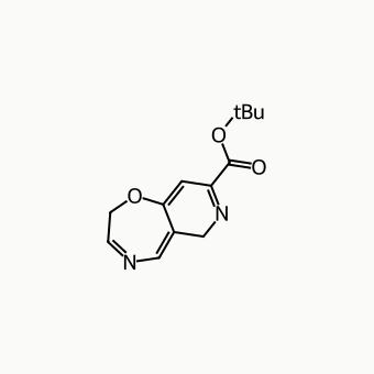 CC(C)(C)OC(=O)C1=NCC2=CN=CCOC2=C1